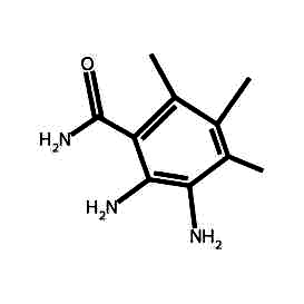 Cc1c(C)c(N)c(N)c(C(N)=O)c1C